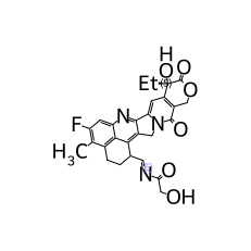 CC[C@@]1(O)C(=O)OCc2c1cc1n(c2=O)Cc2c-1nc1cc(F)c(C)c3c1c2C(/C=N/C(=O)CO)CC3